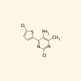 Cc1nc(Cl)nc(-c2ccc(Cl)s2)c1P